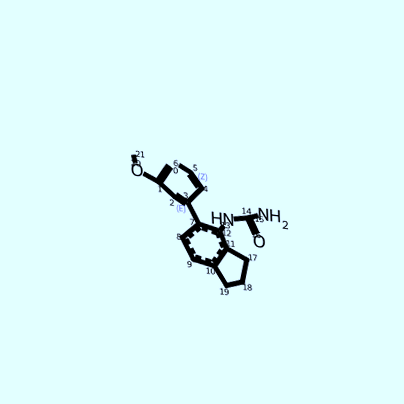 C=C(/C=C(\C=C/C)c1ccc2c(c1NC(N)=O)CCC2)OC